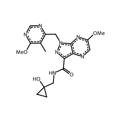 COc1cnc2c(C(=O)NCC3(O)CC3)nn(Cc3ncnc(OC)c3C)c2n1